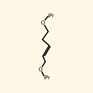 CC(C)OCC=CCCOC(C)C